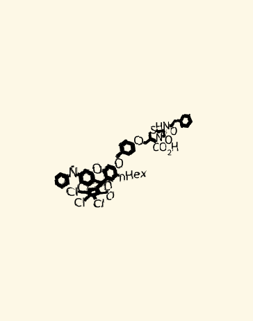 CCCCCCc1cc2c(cc1OCc1ccc(OCC3=C(C(=O)O)N4C(=O)[C@H](NC(=O)Cc5ccccc5)C4SC3)cc1)Oc1cc(N(C)c3ccccc3)ccc1C21OC(=O)c2c(Cl)c(Cl)c(Cl)c(Cl)c21